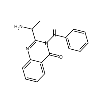 CC(N)c1nc2ccccc2c(=O)n1Nc1ccccc1